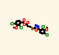 COc1c(Cl)ccc(C(=O)OC(=O)CCSc2nnc(-c3ccc(Cl)c(OC)c3Cl)o2)c1Cl